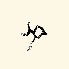 Cl.O=C(O)c1ncccc1Cl